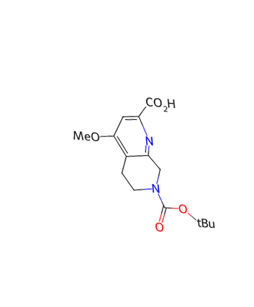 COc1cc(C(=O)O)nc2c1CCN(C(=O)OC(C)(C)C)C2